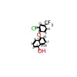 Oc1cccc2c(Oc3ccc(C(F)(F)F)cc3Cl)cccc12